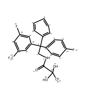 O=C(NCC(c1ccccc1)(c1ccc(F)cc1)c1cc(F)cc(C(F)(F)F)c1)C(O)(O)C(F)(F)F